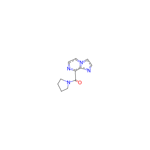 O=C(c1nccn2ccnc12)N1CCCC1